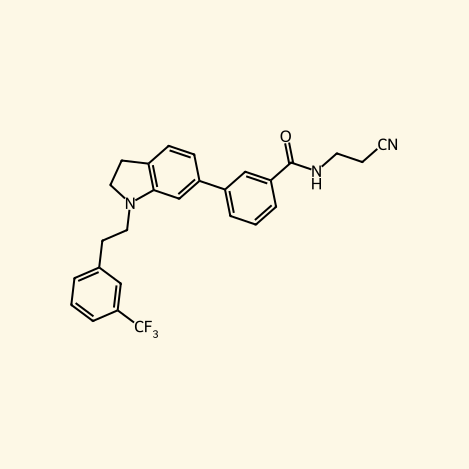 N#CCCNC(=O)c1cccc(-c2ccc3c(c2)N(CCc2cccc(C(F)(F)F)c2)CC3)c1